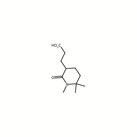 CN1C(=O)C(CCC(=O)O)CCC1(C)C